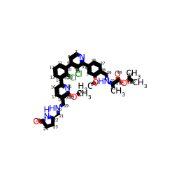 COc1cc(-c2nccc(-c3cccc(-c4ccc(CNC[C@H]5CCC(=O)N5)c(OC)n4)c3Cl)c2Cl)ccc1CNC(C)C(=O)OC(C)C